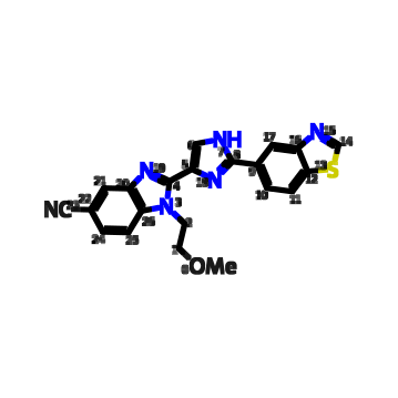 COCCn1c(-c2c[nH]c(-c3ccc4scnc4c3)n2)nc2cc(C#N)ccc21